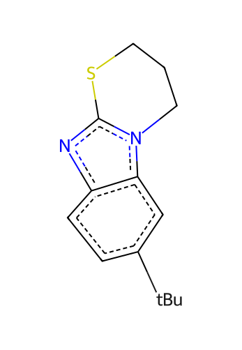 CC(C)(C)c1ccc2nc3n(c2c1)CCCS3